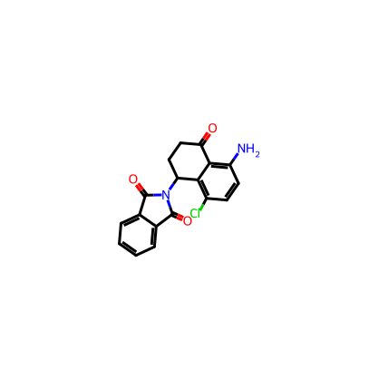 Nc1ccc(Cl)c2c1C(=O)CCC2N1C(=O)c2ccccc2C1=O